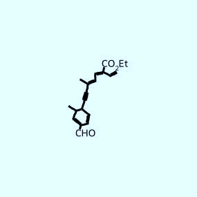 C=C/C(=C\C=C(/C)C#CC1C=CC(C=O)=CC1C)C(=O)OCC